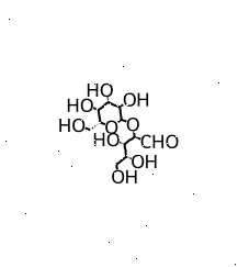 O=C[C@H](OC1O[C@H](CO)[C@@H](O)[C@H](O)[C@H]1O)[C@@H](O)[C@H](O)CO